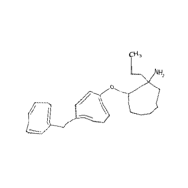 CCC1(N)CCCCC1Oc1ccc(Cc2ccccc2)cc1